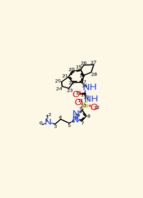 CN(C)CCCn1ccc(S(=O)(=O)NC(=O)Nc2c3c(cc4c2CCC4)CCC3)n1